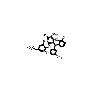 COc1cc(C(c2cccc(C)c2)c2cccc(Cl)c2O)c(Oc2c(Br)cc(CC(=O)O)cc2Br)cc1C(C)C